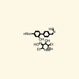 CCCCC(CC)/C(=N\O)C(O)C(CC)CCCC.CCCCCCCCCc1ccc(-c2ccc(/C=N\O)cc2)c(O)c1